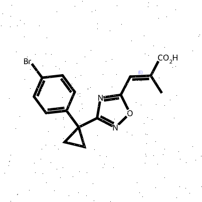 C/C(=C\c1nc(C2(c3ccc(Br)cc3)CC2)no1)C(=O)O